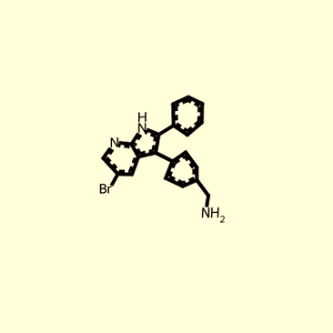 NCc1ccc(-c2c(-c3ccccc3)[nH]c3ncc(Br)cc23)cc1